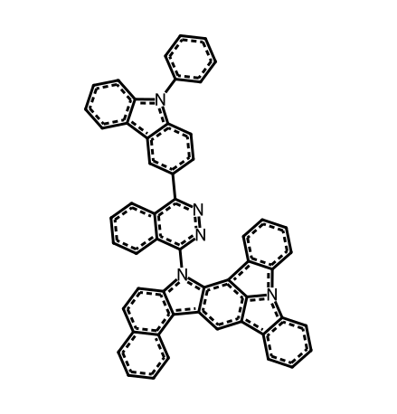 c1ccc(-n2c3ccccc3c3cc(-c4nnc(-n5c6ccc7ccccc7c6c6cc7c8ccccc8n8c9ccccc9c(c65)c78)c5ccccc45)ccc32)cc1